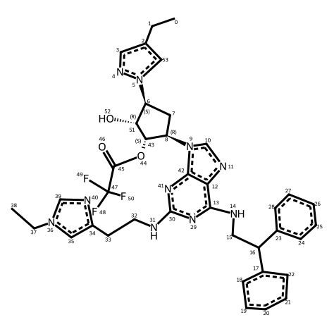 CCc1cnn([C@H]2C[C@@H](n3cnc4c(NCC(c5ccccc5)c5ccccc5)nc(NCCc5cn(CC)cn5)nc43)[C@H](OC(=O)C(F)(F)F)[C@@H]2O)c1